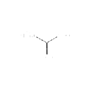 CCCCCC(C(=O)[O-])C(=O)[O-].[Ba+2]